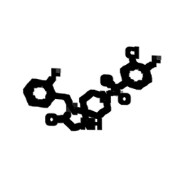 O=C1CNC2(CCN(S(=O)(=O)c3ccc(F)c(Cl)c3)CC2)N1Cc1ccccc1F